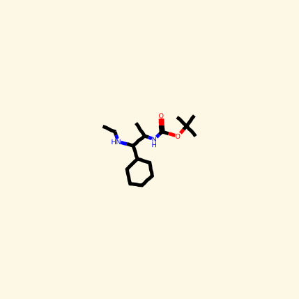 CCNC(C1CCCCC1)C(C)NC(=O)OC(C)(C)C